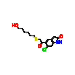 O=C1Cc2cc(C(=O)CSCCCCCCO)c(Cl)cc2N1